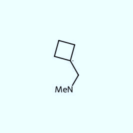 CNC[C]1CCC1